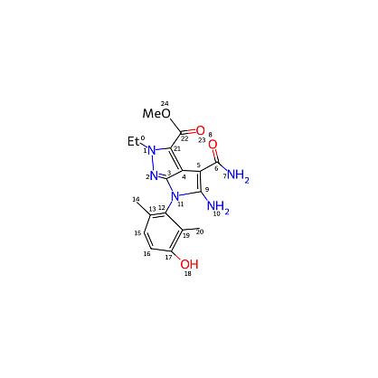 CCn1nc2c(c(C(N)=O)c(N)n2-c2c(C)ccc(O)c2C)c1C(=O)OC